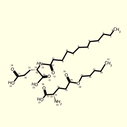 CCCCCCCCCCCC(=O)N[C@@H](CCC(=O)O)C(=O)O.CCCCCOC(=O)CC[C@H](N)C(=O)O